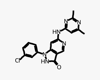 Cc1cc(Nc2cc3c(cn2)c(=O)[nH]n3-c2cccc(Cl)c2)nc(C)n1